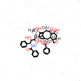 CC(=O)O[C@H]1C(=O)[C@@]2(C)[C@H]([C@H](OC(=O)c3ccccc3)[C@]3(O)C[C@H](OC(=O)[C@H](O)[C@@H](NC(=O)c4ccccc4)c4ccccc4)C(C)=C1C3(C)C)[C@]1(OC(C)=O)CO[C@@H]1C[C@@H]2O.CO